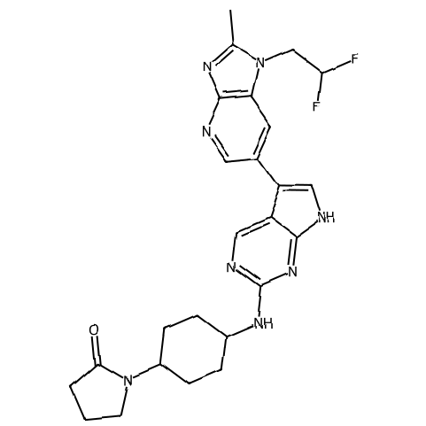 Cc1nc2ncc(-c3c[nH]c4nc(NC5CCC(N6CCCC6=O)CC5)ncc34)cc2n1CC(F)F